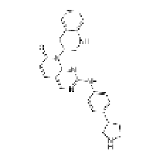 O=c1ccc2cnc(Nc3ccc(C4CCNC4)cc3)nc2n1C1CNc2ccccc2C1